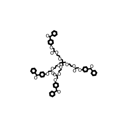 O=C(COc1ccc(C(=O)c2ccccc2)cc1)OCCOCC(COCCOC(=O)COc1ccc(C(=O)c2ccccc2)cc1)(COCCOC(=O)COc1ccc(C(=O)c2ccccc2)cc1)COCCOC(=O)COc1ccc(C(=O)c2ccccc2)cc1